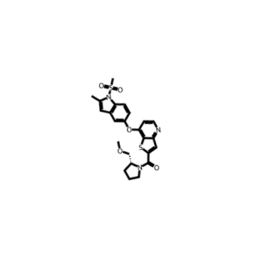 COC[C@H]1CCCN1C(=O)c1cc2nccc(Oc3ccc4c(c3)cc(C)n4S(C)(=O)=O)c2s1